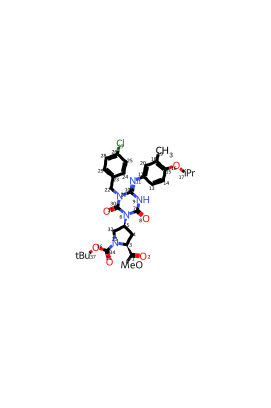 COC(=O)[C@@H]1C[C@H](n2c(=O)[nH]/c(=N\c3ccc(OC(C)C)c(C)c3)n(Cc3ccc(Cl)cc3)c2=O)CN1C(=O)OC(C)(C)C